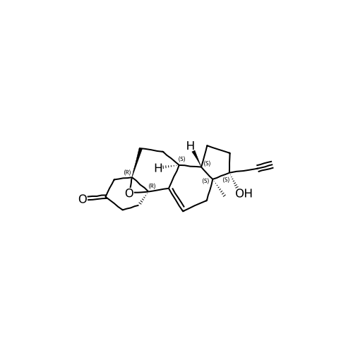 C#C[C@]1(O)CC[C@H]2[C@@H]3CC[C@@]45CC(=O)CC[C@@]4(O5)C3=CC[C@@]21C